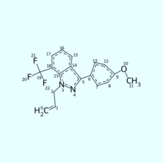 C=CCn1nc(-c2ccc(OC)cc2)c2cccc(C(F)(F)F)c21